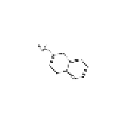 CC1=C[CH]c2ccccc2C1